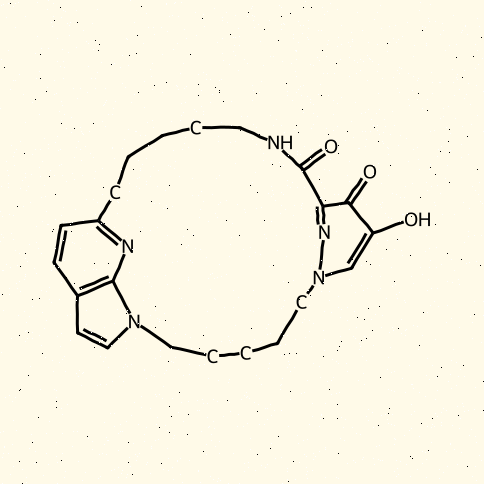 O=C1NCCCCCc2ccc3ccn(c3n2)CCCCCn2cc(O)c(=O)c1n2